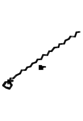 CCCCCCCCCCCCCCCCCCCCCCCCCC[n+]1ccccc1.[Br-]